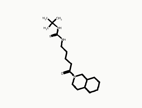 CC(C)(C)NC(=S)NCCCCC(=O)N1CCC2CCCCC2C1